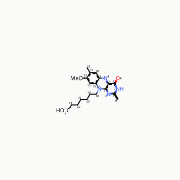 C=c1nc2c(c(=O)[nH]1)=Nc1cc(C)c(OC)cc1N2CCCCCCC(=O)O